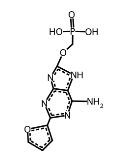 Nc1nc(-c2ccco2)nc2nc(OCP(=O)(O)O)[nH]c12